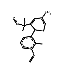 BC1=CCC(c2cccc(N=C)c2C)C(C(C)(C)N=O)=C1